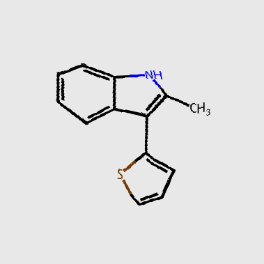 Cc1[nH]c2ccccc2c1-c1cccs1